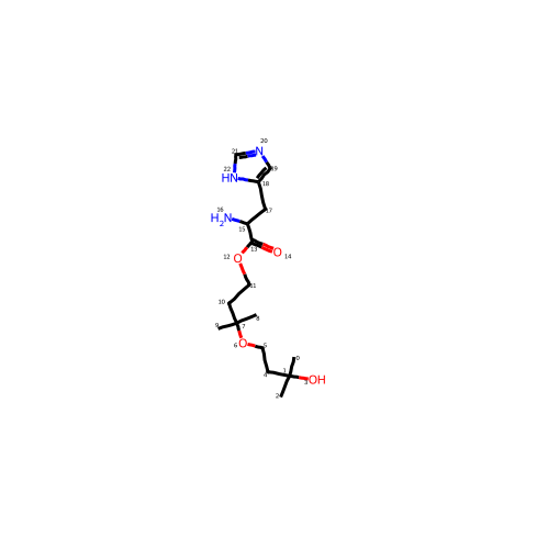 CC(C)(O)CCOC(C)(C)CCOC(=O)C(N)Cc1cnc[nH]1